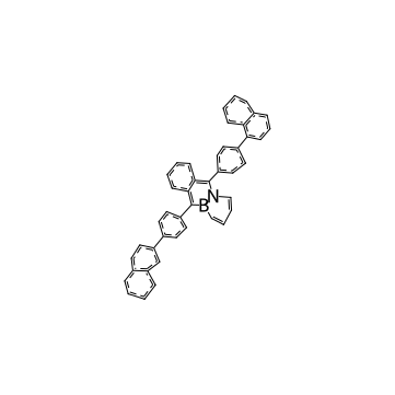 C1=CB2C(c3ccc(-c4ccc5ccccc5c4)cc3)=c3ccccc3=C(c3ccc(-c4cccc5ccccc45)cc3)N2C=C1